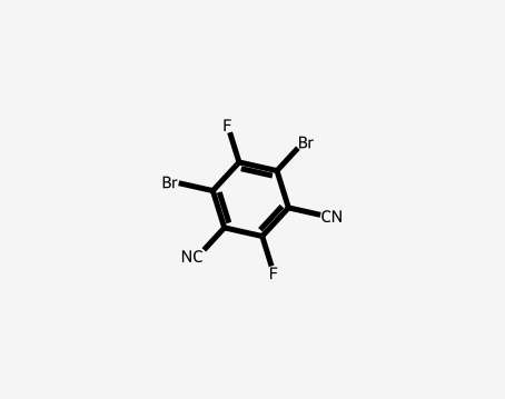 N#Cc1c(F)c(C#N)c(Br)c(F)c1Br